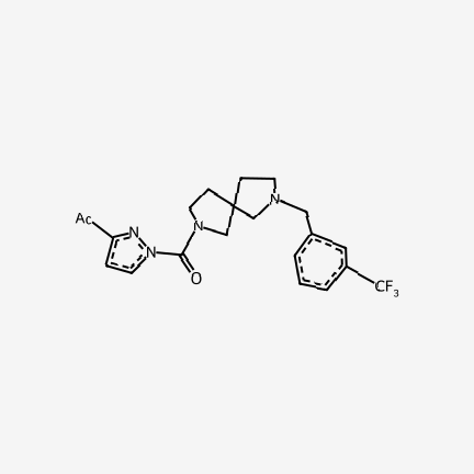 CC(=O)c1ccn(C(=O)N2CCC3(CCN(Cc4cccc(C(F)(F)F)c4)C3)C2)n1